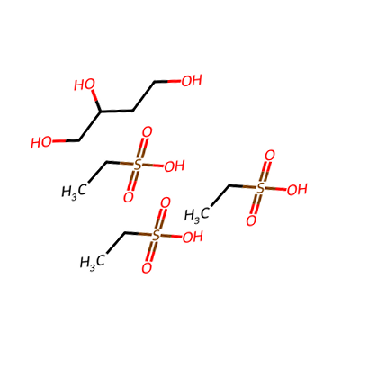 CCS(=O)(=O)O.CCS(=O)(=O)O.CCS(=O)(=O)O.OCCC(O)CO